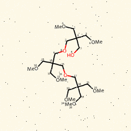 COCC(CO)(COC)COCC(COC)(COC)COCC(COC)(COC)COC